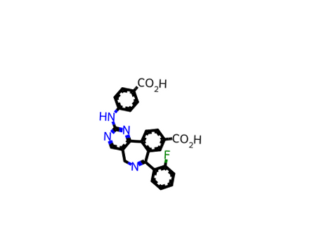 O=C(O)c1ccc(Nc2ncc3c(n2)-c2ccc(C(=O)O)cc2C(c2ccccc2F)=NC3)cc1